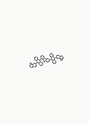 c1cnc2cc(-c3c4ccccc4c(-c4ccc5sc6c(-c7c8ccccc8c(-c8ccc9cccnc9c8)c8ccccc78)cccc6c5c4)c4ccccc34)ccc2c1